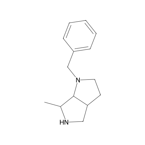 CC1NCC2CCN(Cc3ccccc3)C21